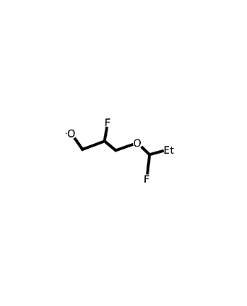 CCC(F)OCC(F)C[O]